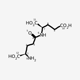 N[C@H](CCC(=O)N[C@H](CCC(=O)O)C(=O)O)C(=O)O